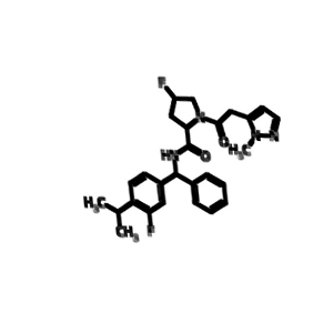 CC(C)c1ccc(C(NC(=O)C2CC(F)CN2C(=O)Cc2ccnn2C)c2ccccc2)cc1F